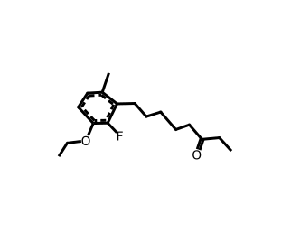 CCOc1ccc(C)c(CCCCCC(=O)CC)c1F